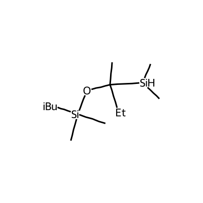 CCC(C)[Si](C)(C)OC(C)(CC)[SiH](C)C